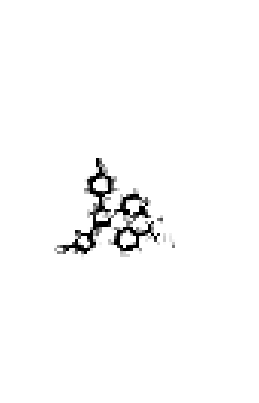 C[C@H](Nc1nccc(-n2cc(-c3ccc(Cl)s3)nc2-c2ccc(F)cc2)n1)c1ccccc1